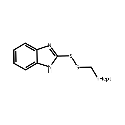 CCCCCCCCSSc1nc2ccccc2[nH]1